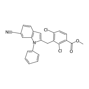 COC(=O)c1ccc(Cl)c(Cc2cc3ccc(C#N)cc3n2-c2ccccc2)c1Cl